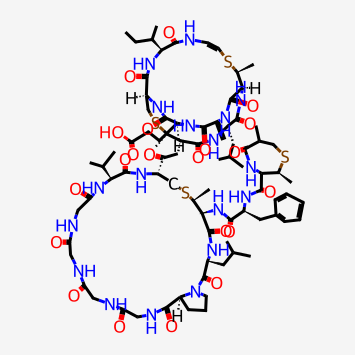 C=C1NC(=O)[C@@H]2NC(=O)[C@H](CC(C)C)NC(=O)[C@H](CC(=O)[C@@H]3CS[C@@H](C)[C@@H](NC(=O)[C@H](Cc4ccccc4)NC(=O)C4NC(=O)C(C)CS[C@H]4C)C(=O)N[C@@H](CC(C)C)C(=O)N4CCC[C@H]4C(=O)NCC(=O)NCC(=O)NCC(=O)NCC(=O)N[C@@H](C(C)C)C(=O)N3)[C@H](C)SC[C@H](NC(=O)[C@H](CCC(=O)O)NC1=O)C(=O)N[C@@H](C(C)CC)C(=O)N/C=C\S[C@H]2C